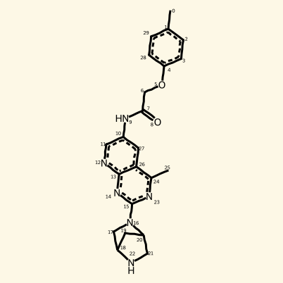 Cc1ccc(OCC(=O)Nc2cnc3nc(N4CC5CC4CN5)nc(C)c3c2)cc1